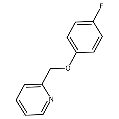 Fc1ccc(OCc2cc[c]cn2)cc1